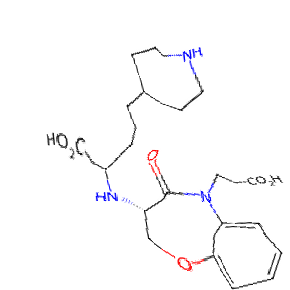 O=C(O)CN1C(=O)[C@@H](NC(CCC2CCNCC2)C(=O)O)COc2ccccc21